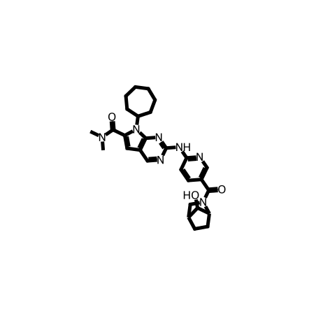 CN(C)C(=O)c1cc2cnc(Nc3ccc(C(=O)N4CC5CCC4C5O)cn3)nc2n1C1CCCCCC1